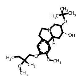 CCC(C)(COc1cc2c(cc1OC)[C@H]1C[C@@H](O)[C@H](OC(C)(C)C)CN1CC2)OC